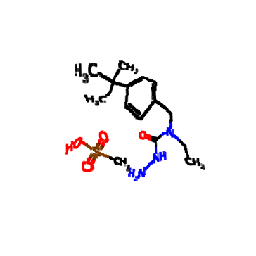 CCN(Cc1ccc(C(C)(C)C)cc1)C(=O)NN.CS(=O)(=O)O